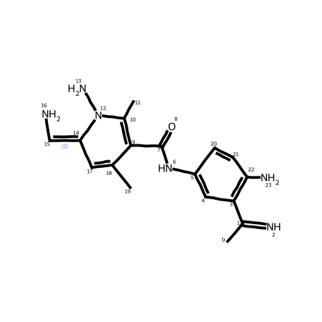 CC(=N)c1cc(NC(=O)C2=C(C)N(N)/C(=C\N)C=C2C)ccc1N